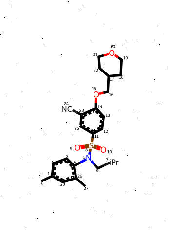 Cc1ccc(N(CC(C)C)S(=O)(=O)c2ccc(OCC3CCOCC3)c(C#N)c2)c(C)c1